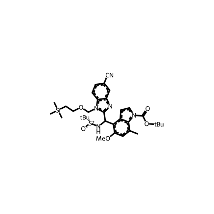 COc1cc(C)c2c(ccn2C(=O)OC(C)(C)C)c1C(N[S+]([O-])C(C)(C)C)c1nc2cc(C#N)ccc2n1COCC[Si](C)(C)C